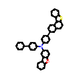 c1ccc(-c2ccc(N(c3ccc(-c4ccc5c(ccc6sc7ccccc7c65)c4)cc3)c3ccc4oc5ccccc5c4c3)cc2)cc1